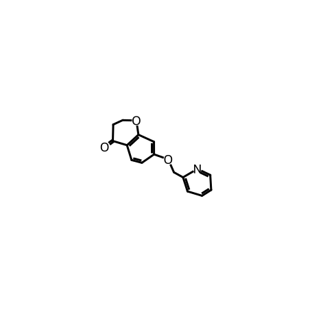 O=C1CCOc2cc(OCc3ccccn3)ccc21